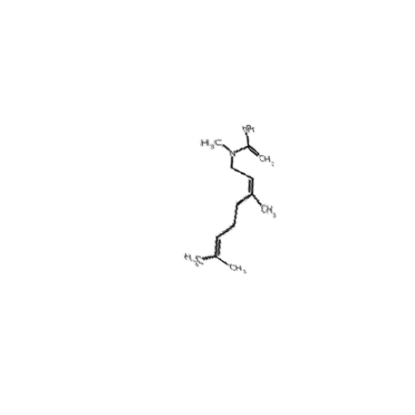 C=C(CCC)N(C)C/C=C(/C)CCC=C(C)C